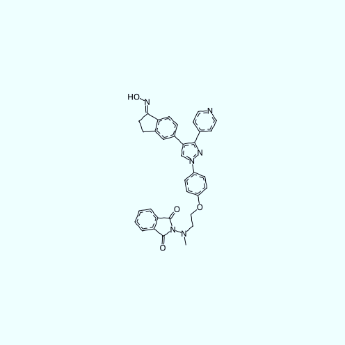 CN(CCOc1ccc(-n2cc(-c3ccc4c(c3)CCC4=NO)c(-c3ccncc3)n2)cc1)N1C(=O)c2ccccc2C1=O